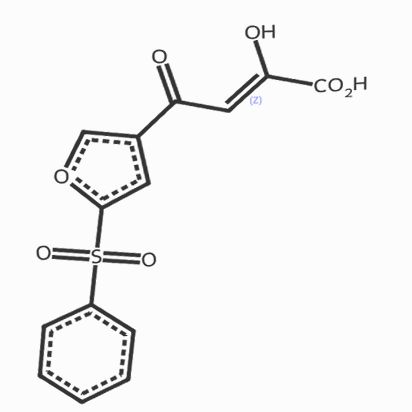 O=C(O)/C(O)=C/C(=O)c1coc(S(=O)(=O)c2ccccc2)c1